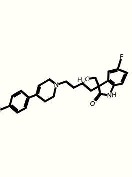 CCC1(CCCCN2CC=C(c3ccc(Cl)cc3)CC2)C(=O)Nc2ccc(F)cc21